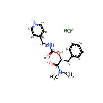 CN(C)C(=O)[C@H](Cc1ccccc1)OC(=O)NCc1ccncc1.Cl